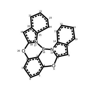 c1cc2c3c(c1)Oc1cc4ccccc4n1B3n1c(cc3ccccc31)O2